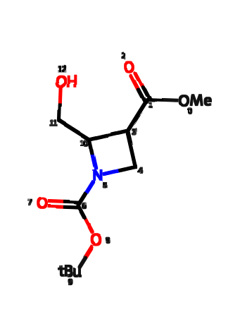 COC(=O)C1CN(C(=O)OC(C)(C)C)C1CO